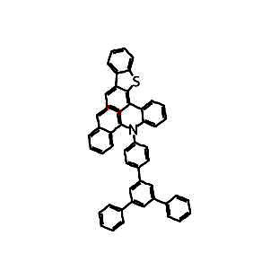 c1ccc(-c2cc(-c3ccccc3)cc(-c3ccc(N(c4ccccc4-c4cccc5c4sc4ccccc45)c4cccc5ccccc45)cc3)c2)cc1